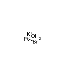 O.[Br][Pt-].[K+]